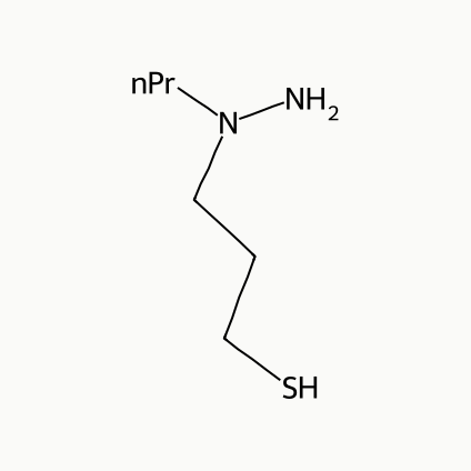 CCCN(N)CCCS